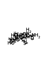 CSCC[C@H](NC(=O)[C@@H]1CCCN1C(=O)[C@H](CO)NC(C)=O)C(=O)N[C@@H](CCC(N)=O)C(N)=O